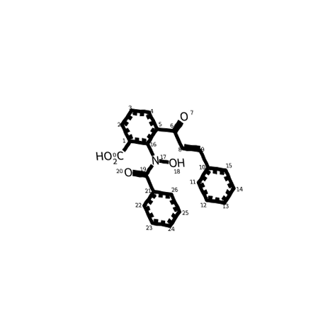 O=C(O)c1cccc(C(=O)C=Cc2ccccc2)c1N(O)C(=O)c1ccccc1